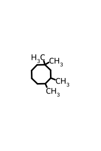 CC1CCCCC(C)(C)CC1C